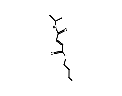 CCCCOC(=O)C=CC(=O)NC(C)C